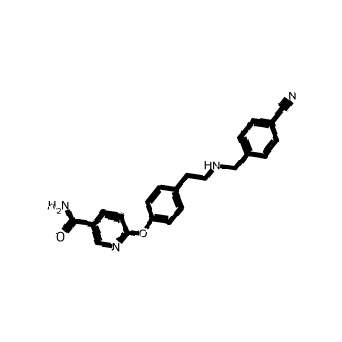 N#Cc1ccc(CNCCc2ccc(Oc3ccc(C(N)=O)cn3)cc2)cc1